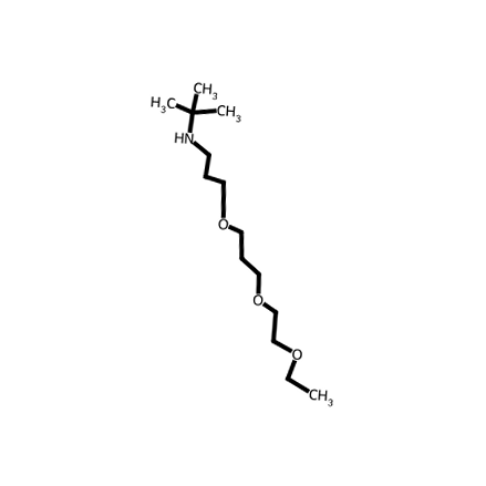 CCOCCOCCCOCCCNC(C)(C)C